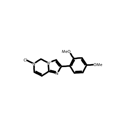 COc1ccc(C2=C[N+]3CN(Cl)C=CC3=N2)c(OC)c1